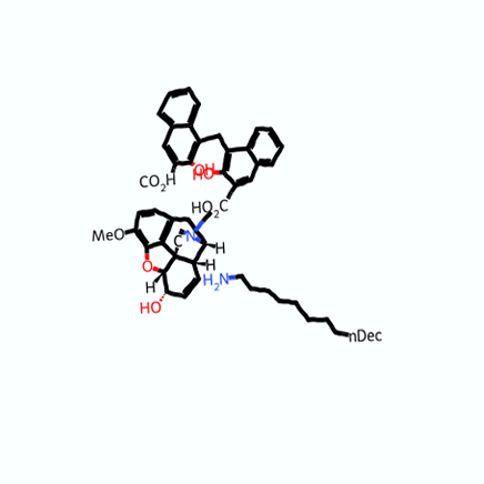 CCCCCCCCCCCCCCCCCCN.COc1ccc2c3c1O[C@H]1[C@@H](O)C=C[C@H]4[C@@H](C2)N(C)CC[C@@]341.O=C(O)c1cc2ccccc2c(Cc2c(O)c(C(=O)O)cc3ccccc23)c1O